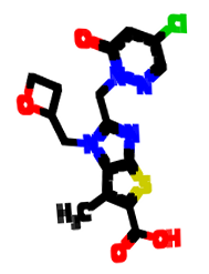 Cc1c(C(=O)O)sc2nc(Cn3ncc(Cl)cc3=O)n(CC3CCO3)c12